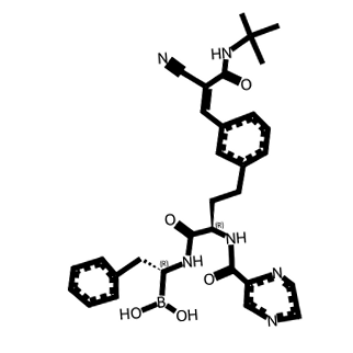 CC(C)(C)NC(=O)C(C#N)=Cc1cccc(CC[C@@H](NC(=O)c2cnccn2)C(=O)N[C@@H](Cc2ccccc2)B(O)O)c1